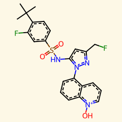 CC(C)(C)c1ccc(S(=O)(=O)Nc2cc(CF)nn2-c2cccc3c2ccc[n+]3O)cc1F